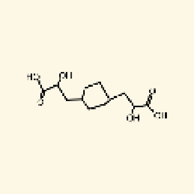 O=C(O)C(O)CC1CCC(CC(O)C(=O)O)CC1